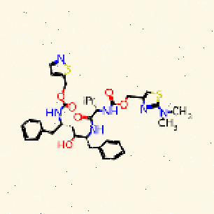 CC(C)[C@H](NC(=O)OCc1csc(N(C)C)n1)C(=O)N[C@@H](Cc1ccccc1)[C@@H](O)C[C@H](Cc1ccccc1)NC(=O)OCc1ccns1